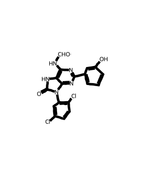 O=[C]Nc1nc(-c2cccc(O)c2)nc2c1[nH]c(=O)n2-c1cc(Cl)ccc1Cl